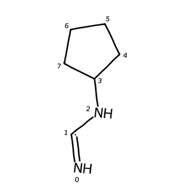 N=[C]NC1CCCC1